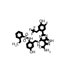 CCc1ccccc1S(=O)(=O)Nc1ccc(O)cc1CNc1nc(-c2cc(F)c(O)cc2CC(F)(F)F)nc2[nH]nc(C(N)=O)c12